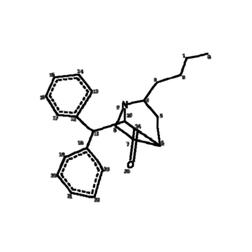 CCCCC1CC2CCN1C(C(c1ccccc1)c1ccccc1)C2=O